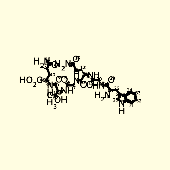 C[C@@H](O)[C@H](NC(=O)CNC(=O)[C@H](CCC(N)=O)NC(=O)CNC(=O)[C@@H](N)Cc1c[nH]c2ccccc12)C(=O)N[C@@H](CCC(N)=O)C(=O)O